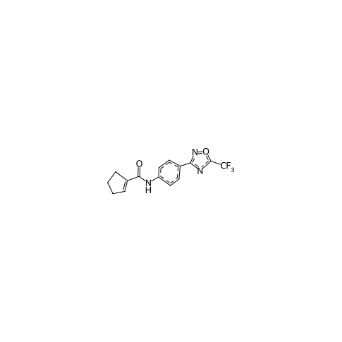 O=C(Nc1ccc(-c2noc(C(F)(F)F)n2)cc1)C1=CCCC1